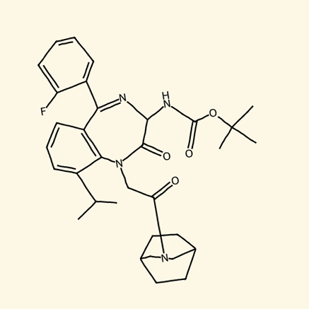 CC(C)c1cccc2c1N(CC(=O)N1CC3CCC(CC3)C1)C(=O)C(NC(=O)OC(C)(C)C)N=C2c1ccccc1F